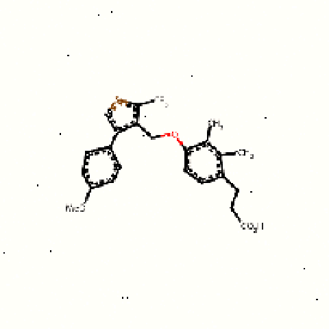 COc1ccc(-c2csc(C(F)(F)F)c2COc2ccc(CCC(=O)O)c(C)c2C)cc1